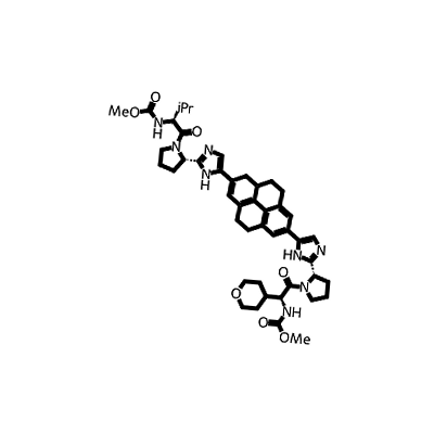 COC(=O)N[C@H](C(=O)N1CCC[C@H]1c1ncc(C2=CC3=C4c5c(cc(-c6cnc([C@@H]7CCCN7C(=O)[C@@H](NC(=O)OC)C7CCOCC7)[nH]6)cc5CCC4C2)CC3)[nH]1)C(C)C